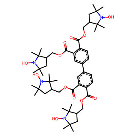 CC1(C)CC(COC(=O)c2ccc(-c3ccc(C(=O)OCC4CC(C)(C)N(O)C4(C)C)c(C(=O)OCC4CC(C)(C)N(O)C4(C)C)c3)cc2C(=O)OCC2CC(C)(C)N(O)C2(C)C)C(C)(C)N1O